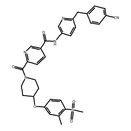 Cc1cc(OC2CCN(C(=O)c3ccc(C(=O)Nc4ccc(Cc5ccc(C#N)cc5)nc4)cn3)CC2)ccc1S(C)(=O)=O